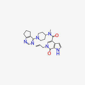 C=CCn1cc(C(=O)N(C)C2CCN(c3ncnc4c3CCC4)CC2)c2cc[nH]c2c1=O